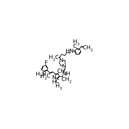 C=Cc1cccc(NCCCCC(=C)N2CCN(CCNC(=C)c3c(C)[nH]c(/C=C(\C)c4cc(F)ccc4N)c3C)CC2)c1C